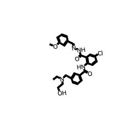 CCN(CCO)Cc1cccc(C(=O)Nc2ccc(Cl)cc2C(=O)NN=Cc2cccc(OC)c2)c1